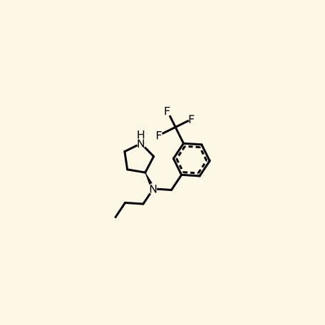 CCCN(Cc1cccc(C(F)(F)F)c1)[C@H]1CCNC1